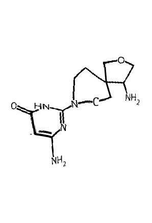 Nc1[c]c(=O)[nH]c(N2CCC3(CC2)COCC3N)n1